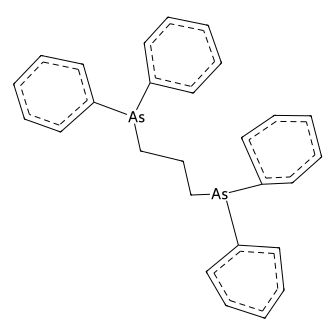 c1ccc([As](CCC[As](c2ccccc2)c2ccccc2)c2ccccc2)cc1